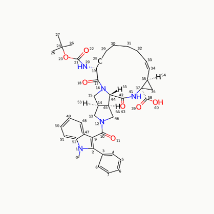 Cn1c(-c2ccccc2)c(C(=O)N2C[C@H]3CN4C(=O)[C@H](NC(=O)OC(C)(C)C)CCCCC/C=C\[C@H]5C[C@@]5(C(=O)O)NC(=O)[C@@H]4[C@H]3C2)c2ccccc21